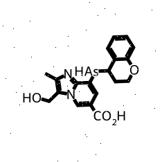 Cc1nc2c([AsH]C3CCOc4ccccc43)cc(C(=O)O)cn2c1CO